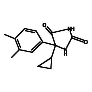 Cc1ccc(C2(C3CC3)NC(=O)NC2=O)cc1C